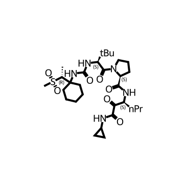 CCC[C@H](NC(=O)[C@@H]1CCCN1C(=O)[C@@H](NC(=O)NC1([C@@H](C)S(C)(=O)=O)CCCCC1)C(C)(C)C)C(=O)C(=O)NC1CC1